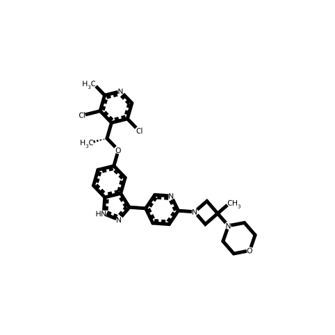 Cc1ncc(Cl)c([C@@H](C)Oc2ccc3[nH]nc(-c4ccc(N5CC(C)(N6CCOCC6)C5)nc4)c3c2)c1Cl